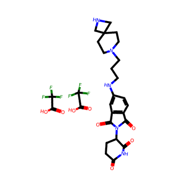 O=C(O)C(F)(F)F.O=C(O)C(F)(F)F.O=C1CCC(N2C(=O)c3ccc(NCCCN4CCC5(CC4)CNC5)cc3C2=O)C(=O)N1